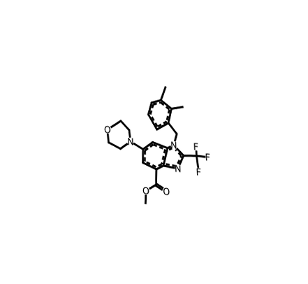 COC(=O)c1cc(N2CCOCC2)cc2c1nc(C(F)(F)F)n2Cc1cccc(C)c1C